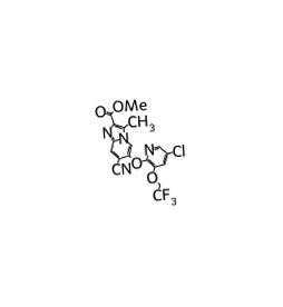 COC(=O)c1nc2cc(C#N)c(Oc3ncc(Cl)cc3OCC(F)(F)F)cn2c1C